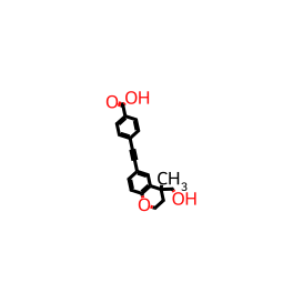 CC1(CO)CCOc2ccc(C#Cc3ccc(C(=O)O)cc3)cc21